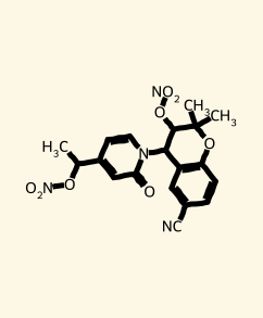 CC(O[N+](=O)[O-])c1ccn(C2c3cc(C#N)ccc3OC(C)(C)C2O[N+](=O)[O-])c(=O)c1